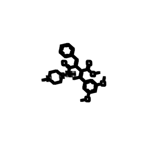 COC(=O)C(C(=Cc1ccccc1)C(=O)NN1CCN(C)CC1)=C(C)c1cc(OC)cc(OC)c1